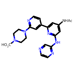 CC(=O)Nc1cc(Nc2cnccn2)nc(-c2ccnc(N3CCN(C(=O)O)CC3)c2)c1